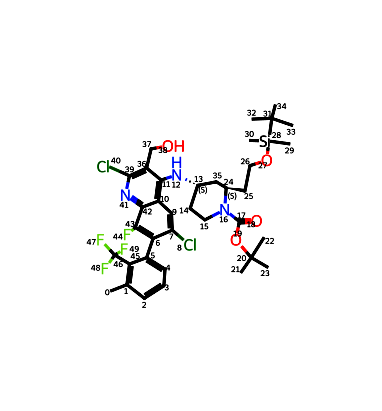 Cc1cccc(-c2c(Cl)cc3c(N[C@H]4CCN(C(=O)OC(C)(C)C)[C@H](CCO[Si](C)(C)C(C)(C)C)C4)c(CO)c(Cl)nc3c2F)c1C(F)(F)F